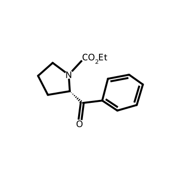 CCOC(=O)N1CCC[C@H]1C(=O)c1ccccc1